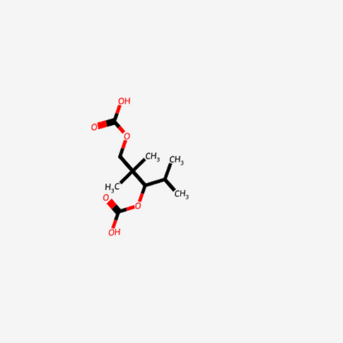 CC(C)C(OC(=O)O)C(C)(C)COC(=O)O